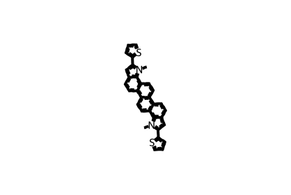 Cn1c(-c2cccs2)cc2ccc3c4ccc5c(ccc6cc(-c7cccs7)n(C)c65)c4ccc3c21